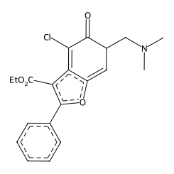 CCOC(=O)c1c(-c2ccccc2)oc2c1=C(Cl)C(=O)C(CN(C)C)C=2